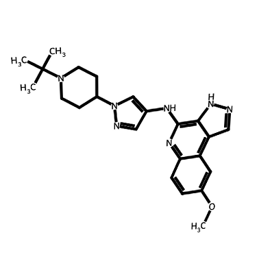 COc1ccc2nc(Nc3cnn(C4CCN(C(C)(C)C)CC4)c3)c3[nH]ncc3c2c1